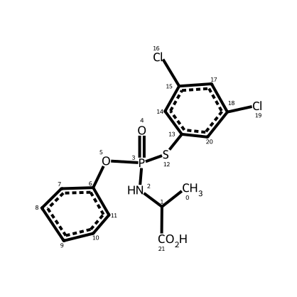 CC(NP(=O)(Oc1ccccc1)Sc1cc(Cl)cc(Cl)c1)C(=O)O